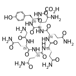 NCC(=O)N[C@@H](CCC(N)=O)C(=O)N[C@@H](CCC(N)=O)C(=O)N[C@@H](CCC(N)=O)C(=O)N[C@@H](CCC(N)=O)C(=O)N[C@@H](CCC(N)=O)C(=O)N[C@@H](Cc1ccc(O)cc1)C(=O)NCC(=O)O